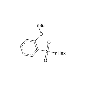 [CH2]CCCCCS(=O)(=O)c1ccccc1OCCCC